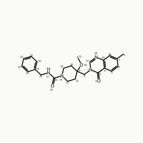 Cc1ccc2c(=O)n(CC3(OI)CCN(C(=O)NCc4ccccc4)CC3)cnc2c1